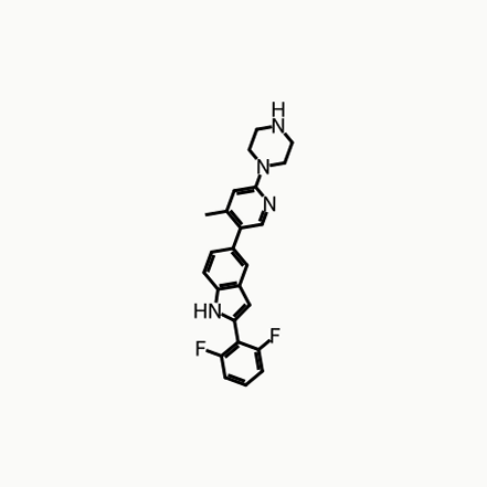 Cc1cc(N2CCNCC2)ncc1-c1ccc2[nH]c(-c3c(F)cccc3F)cc2c1